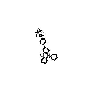 CC1(C)OB(c2ccc(-c3ccc4c(c3)Oc3ccccc3N4c3ccccc3)cc2)OC1(C)C